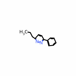 CCCc1ccc(-c2ccccc2)nn1